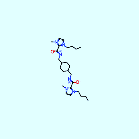 CCCCn1cc[n+](C)c1/C([O-])=N/CC1CCC(C/N=C(\[O-])c2n(CCCC)cc[n+]2C)CC1